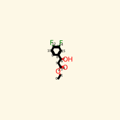 CCOC(=O)CC(O)c1ccc(F)c(F)c1